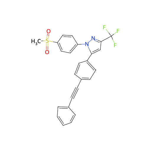 CS(=O)(=O)c1ccc(-n2nc(C(F)(F)F)cc2-c2ccc(C#Cc3ccccc3)cc2)cc1